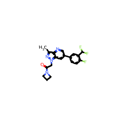 Cc1nn(CC(=O)N2CCC2)c2cc(-c3ccc(F)c(C(F)F)c3)cnc12